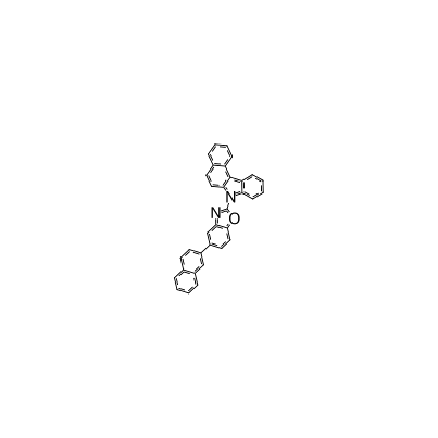 c1ccc2cc(-c3ccc4oc(-n5c6ccccc6c6c7ccccc7ccc65)nc4c3)ccc2c1